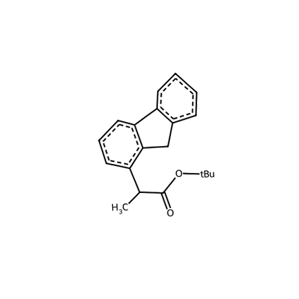 CC(C(=O)OC(C)(C)C)c1cccc2c1Cc1ccccc1-2